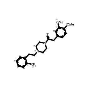 COc1ccc(CC(=O)N2CCN(CCc3ccccc3C(F)(F)F)CC2)cc1OC